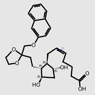 O=C(O)CCC/C=C\C[C@@H]1[C@@H](CCC2(COc3ccc4ccccc4c3)OCCO2)[C@H](O)C[C@H]1O